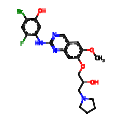 COc1cc2cnc(Nc3cc(O)c(Br)cc3F)nc2cc1OCC(O)CN1CCCC1